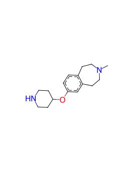 CN1CCc2ccc(OC3CCNCC3)cc2CC1